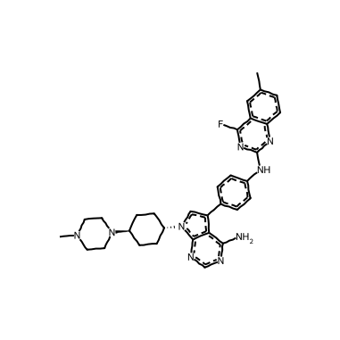 Cc1ccc2nc(Nc3ccc(-c4cn([C@H]5CC[C@H](N6CCN(C)CC6)CC5)c5ncnc(N)c45)cc3)nc(F)c2c1